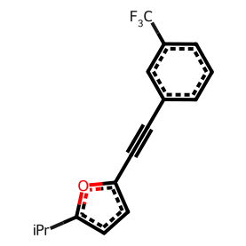 CC(C)c1ccc(C#Cc2cccc(C(F)(F)F)c2)o1